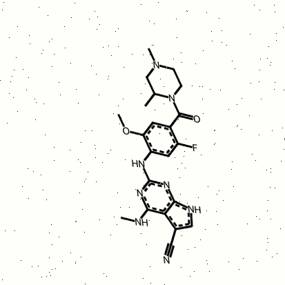 CNc1nc(Nc2cc(F)c(C(=O)N3CCN(C)CC3C)cc2OC)nc2[nH]cc(C#N)c12